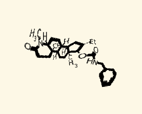 CC[C@H]1C[C@H]2[C@@H]3CC[C@H]4N(C)C(=O)CC[C@]4(C)[C@H]3CC[C@]2(C)[C@H]1OC(=O)NCc1ccccc1